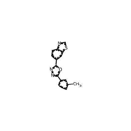 Cc1cccc(-c2nnc(-c3ccc4ncsc4c3)o2)c1